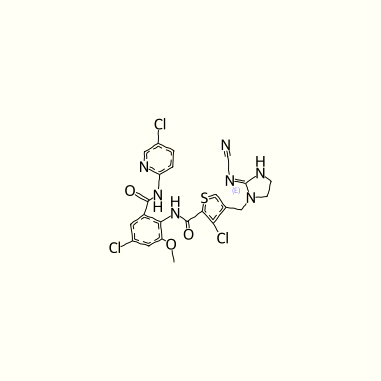 COc1cc(Cl)cc(C(=O)Nc2ccc(Cl)cn2)c1NC(=O)c1scc(CN2CCN/C2=N\C#N)c1Cl